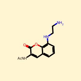 CC(=O)Nc1cc2cccc(NCCN)c2oc1=O